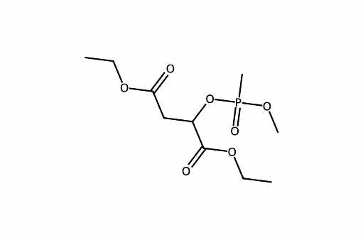 CCOC(=O)CC(OP(C)(=O)OC)C(=O)OCC